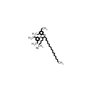 CCCCCCCCCCCCCCCC=CC(=Nc1cc(CC)cc(CC)c1)C(CCCCC)=Nc1cc(CC)cc(CC)c1.[Ni]